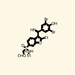 CCN[SH](=O)(CC=O)c1ccc2c(C(=N)c3cc(Br)c(O)c(Br)c3)c(CC)oc2c1